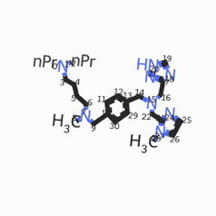 CCCN(CCC)CCCCN(C)Cc1ccc(CN(Cc2nc[nH]n2)Cc2nccn2C)cc1